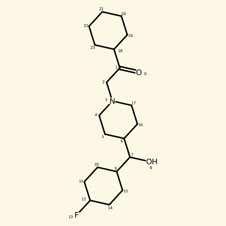 O=C(CN1CCC(C(O)C2CCC(F)CC2)CC1)C1CCCCC1